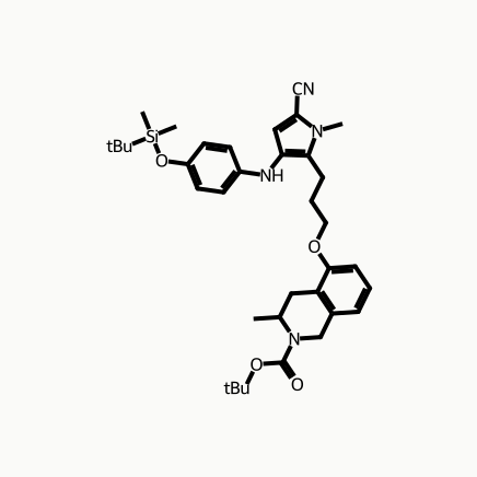 CC1Cc2c(cccc2OCCCc2c(Nc3ccc(O[Si](C)(C)C(C)(C)C)cc3)cc(C#N)n2C)CN1C(=O)OC(C)(C)C